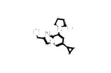 O=C1CCCN1c1cc(C2CC2)cn2cc(CCl)nc12